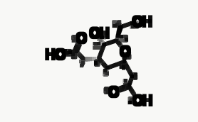 O=C(O)CC1C[C@H](CC(=O)O)[C@H](O)[C@@H](CO)O1